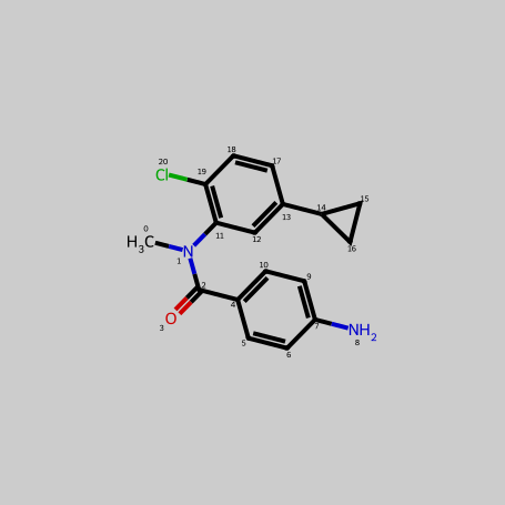 CN(C(=O)c1ccc(N)cc1)c1cc(C2CC2)ccc1Cl